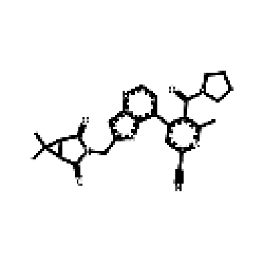 Cc1nc(C#N)cc(-c2ccnc3cc(CN4C(=O)C5C(C4=O)C5(C)C)sc23)c1C(=O)N1CCCC1